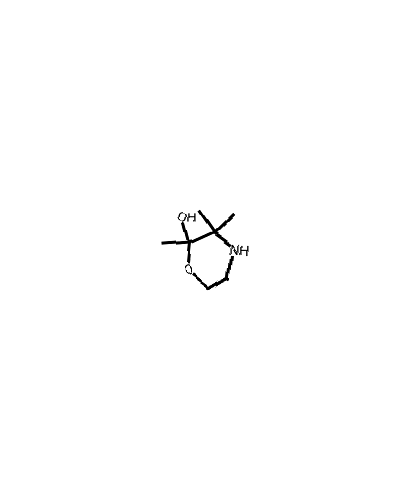 CC1(C)NCCOC1(C)O